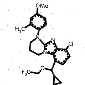 COc1ccc(N2CCCn3c2nc2c(Cl)ccc(C(OCC(F)(F)F)C4CC4)c23)c(C)c1